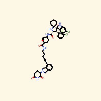 O=C1CCC(N2Cc3cccc(C#CCCCNC(=O)C45CCC(NC(=O)[C@@H]6NC7(CCCCC7)[C@@]7(C(=O)Nc8cc(Cl)ccc87)[C@H]6c6cccc(Cl)c6F)(CC4)CC5)c3C2)C(=O)N1